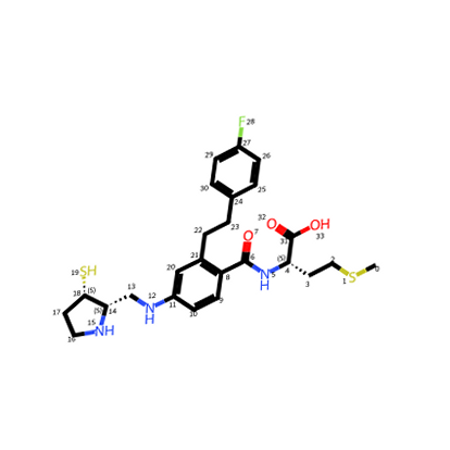 CSCC[C@H](NC(=O)c1ccc(NC[C@@H]2NCC[C@@H]2S)cc1CCc1ccc(F)cc1)C(=O)O